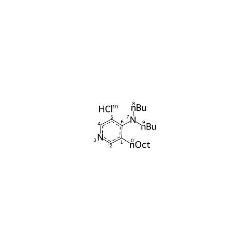 CCCCCCCCc1cnccc1N(CCCC)CCCC.Cl